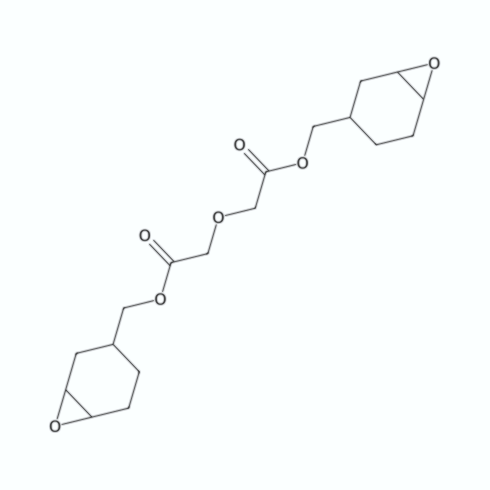 O=C(COCC(=O)OCC1CCC2OC2C1)OCC1CCC2OC2C1